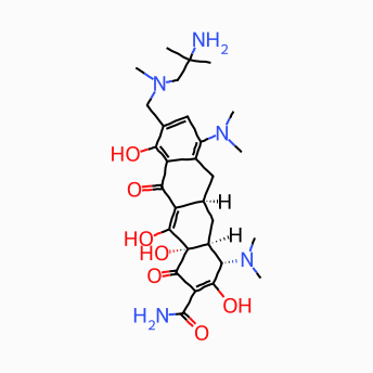 CN(Cc1cc(N(C)C)c2c(c1O)C(=O)C1=C(O)[C@]3(O)C(=O)C(C(N)=O)=C(O)[C@@H](N(C)C)[C@@H]3C[C@@H]1C2)CC(C)(C)N